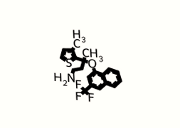 Cc1ccsc1C(C)(CCN)Oc1cc(C(F)(F)F)cc2ccccc12